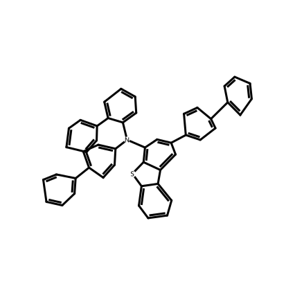 c1ccc(-c2ccc(-c3cc(N(c4ccc(-c5ccccc5)cc4)c4ccccc4-c4ccccc4)c4sc5ccccc5c4c3)cc2)cc1